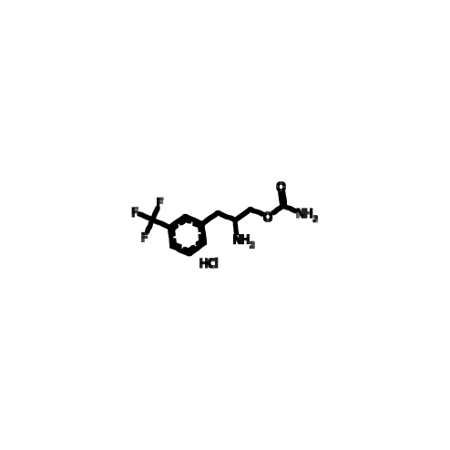 Cl.NC(=O)OCC(N)Cc1cccc(C(F)(F)F)c1